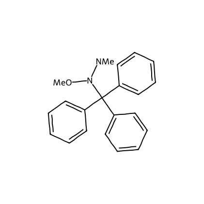 CNN(OC)C(c1ccccc1)(c1ccccc1)c1ccccc1